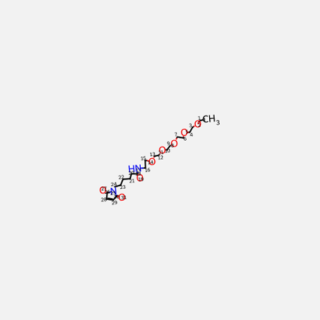 CCOCCOCCOCCOCCOCCNC(=O)CCCCCN1C(=O)C=CC1=O